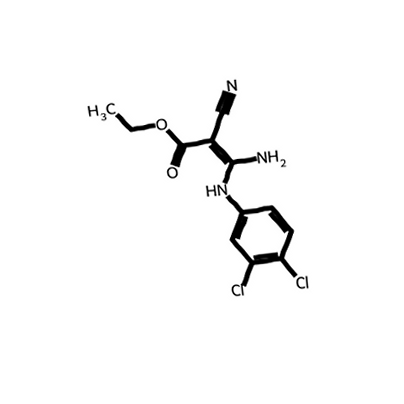 CCOC(=O)C(C#N)=C(N)Nc1ccc(Cl)c(Cl)c1